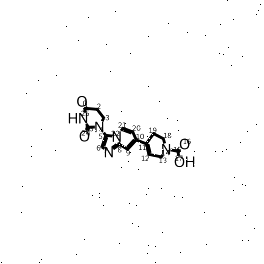 O=C1CCN(c2cnc3cc(C4=CCN(C(=O)O)CC4)ccn23)C(=O)N1